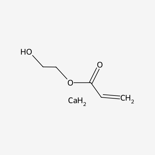 C=CC(=O)OCCO.[CaH2]